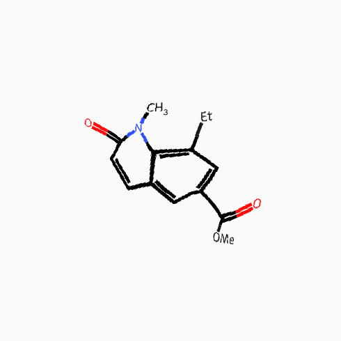 CCc1cc(C(=O)OC)cc2ccc(=O)n(C)c12